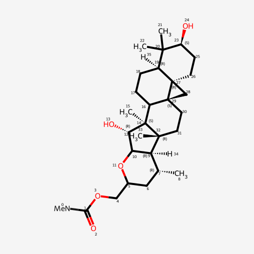 CNC(=O)OCC1C[C@@H](C)[C@H]2C(O1)[C@H](O)[C@@]1(C)C3CC[C@H]4C(C)(C)[C@@H](O)CC[C@@]45C[C@@]35CC[C@]21C